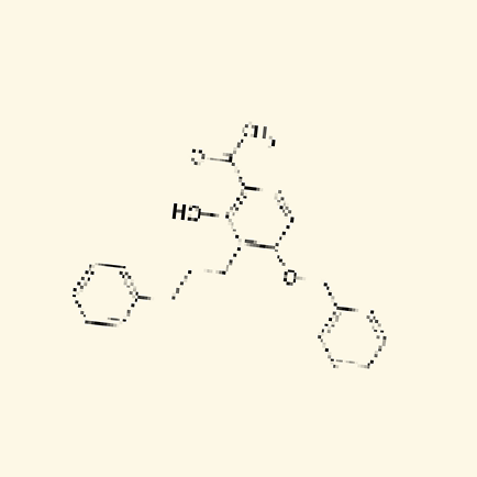 CC(=O)c1ccc(OCc2ccccc2)c(CCCc2ccccc2)c1O